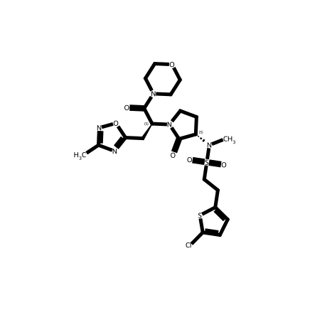 Cc1noc(C[C@@H](C(=O)N2CCOCC2)N2CC[C@H](N(C)S(=O)(=O)CCc3ccc(Cl)s3)C2=O)n1